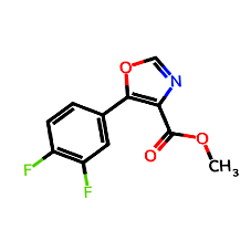 COC(=O)c1ncoc1-c1ccc(F)c(F)c1